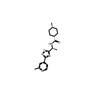 Cc1cc(-c2noc([C@H](C)NC(=O)[C@H]3CC[C@H](C)CC3)n2)ccn1